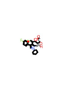 CC(C)c1c(/C(=C\F)C2CC(O)CC(=O)O2)c(-c2ccc(F)cc2)cn1C1CCCCC1